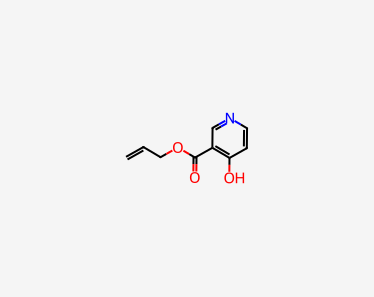 C=CCOC(=O)c1cnccc1O